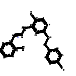 Fc1ccc(COc2ncc(F)c(N/N=C/c3ccccc3Cl)n2)cc1